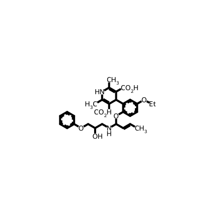 CC=CC(NCC(O)COc1ccccc1)Oc1ccc(OCC)cc1C1C(C(=O)O)=C(C)NC(C)=C1C(=O)O